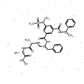 CCNC(=O)[C@@H](NC(=O)[C@H](C)NC[C@H](Cc1ccccc1)NC(=O)c1cc(C(=O)N[C@H](C)c2ccccc2)cc(N(C)S(C)(=O)=O)c1)C(C)C